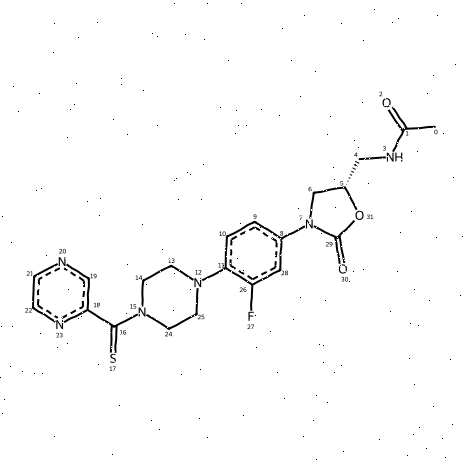 CC(=O)NC[C@H]1CN(c2ccc(N3CCN(C(=S)c4cnccn4)CC3)c(F)c2)C(=O)O1